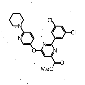 COC(=O)c1cc(Oc2ccc(N3CCCCC3)nc2)nc(-c2cc(Cl)cc(Cl)c2)n1